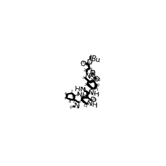 C/N=C\C1CCCC[C@@H]1Nc1cc[nH]c(=O)c1C(=N)Nc1ccc2c(c1)CN(CCC(=O)OC(C)(C)C)S2(=O)=O